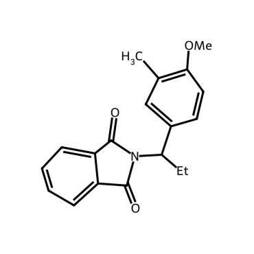 CCC(c1ccc(OC)c(C)c1)N1C(=O)c2ccccc2C1=O